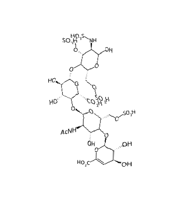 CC(=O)N[C@H]1[C@@H](OC2[C@@H](C(=O)O)O[C@@H](OC3[C@@H](COS(=O)(=O)O)OC(O)[C@H](NS(=O)(=O)O)[C@H]3OS(=O)(=O)O)[C@H](O)[C@H]2O)O[C@H](COS(=O)(=O)O)C(O[C@@H]2OC(C(=O)O)=C[C@H](O)[C@H]2O)[C@@H]1O